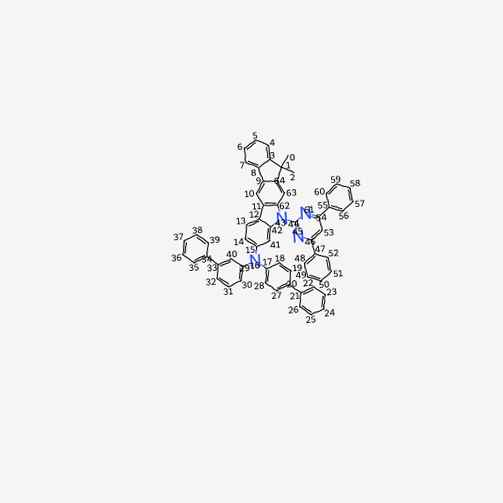 CC1(C)c2ccccc2-c2cc3c4ccc(N(c5ccc(-c6ccccc6)cc5)c5cccc(-c6ccccc6)c5)cc4n(-c4nc(-c5ccccc5)cc(-c5ccccc5)n4)c3cc21